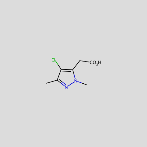 Cc1nn(C)c(CC(=O)O)c1Cl